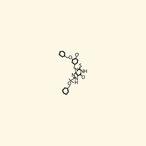 COc1ccc(Cn2c(=S)[nH]c(=O)c3[nH]c(C(C)(C)OCc4ccccc4)nc32)cc1OCc1ccccc1